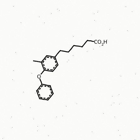 Cc1cc(CCCCCC(=O)O)ccc1Oc1ccccc1